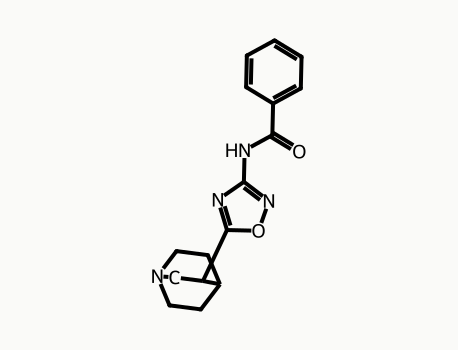 O=C(Nc1noc(C2CN3CCC2CC3)n1)c1ccccc1